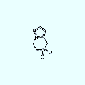 O=S1(=O)CCn2nccc2C1